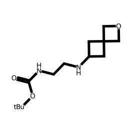 CC(C)(C)OC(=O)NCCNC1CC2(COC2)C1